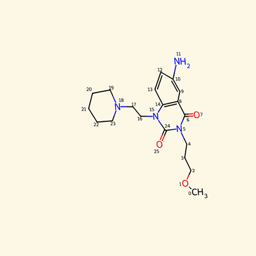 COCCCn1c(=O)c2cc(N)ccc2n(CCN2CCCCC2)c1=O